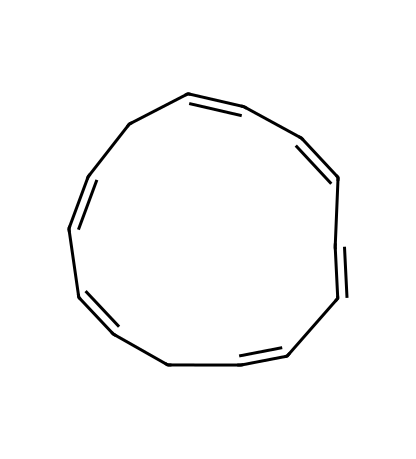 C1=CC=CCC=CC=CCC=CC=C1